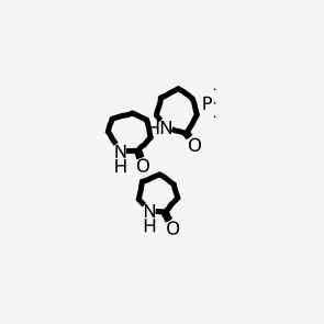 O=C1CCCCCN1.O=C1CCCCCN1.O=C1CCCCCN1.[P]